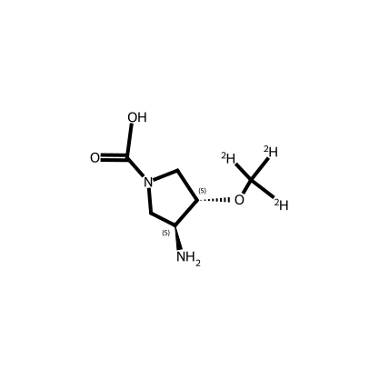 [2H]C([2H])([2H])O[C@H]1CN(C(=O)O)C[C@@H]1N